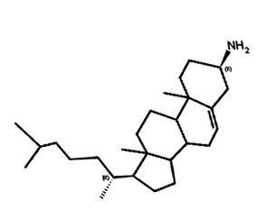 CC(C)CCC[C@@H](C)C1CCC2C3CC=C4C[C@H](N)CCC4(C)C3CCC21C